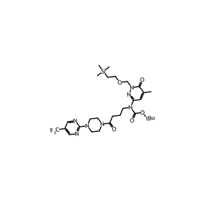 Cc1cc(N(CCCC(=O)N2CCN(c3ncc(C(F)(F)F)cn3)CC2)C(=O)OC(C)(C)C)nn(COCC[Si](C)(C)C)c1=O